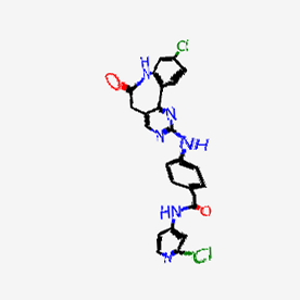 O=C1Cc2cnc(Nc3ccc(C(=O)Nc4ccnc(Cl)c4)cc3)nc2-c2ccc(Cl)cc2N1